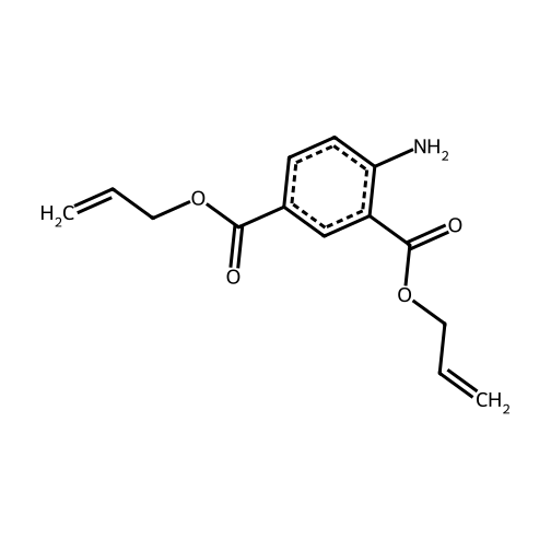 C=CCOC(=O)c1ccc(N)c(C(=O)OCC=C)c1